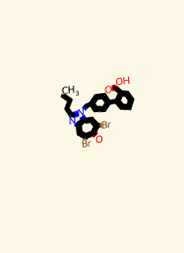 CCCCc1nc2cc(Br)c(=O)c(Br)cc2n1Cc1ccc(-c2ccccc2C(=O)O)cc1